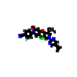 C[C@H]1CN(c2ncc(C3CC3)cn2)CC[C@H]1Oc1cc(=O)n(-c2ccc(C#N)c(F)c2)cc1Cl